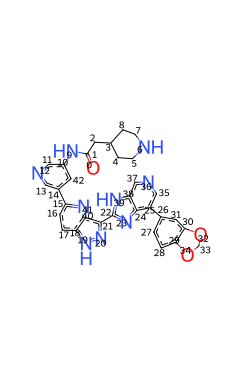 O=C(CC1CCNCC1)Nc1cncc(-c2ccc3[nH]nc(-c4nc5c(-c6ccc7c(c6)OCO7)cncc5[nH]4)c3n2)c1